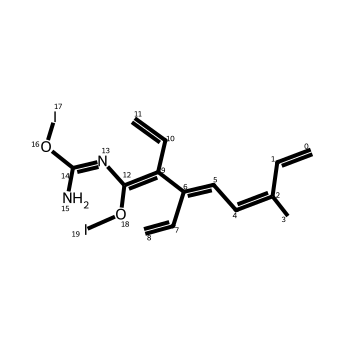 C=C\C(C)=C/C=C(C=C)/C(C=C)=C(/N=C(\N)OI)OI